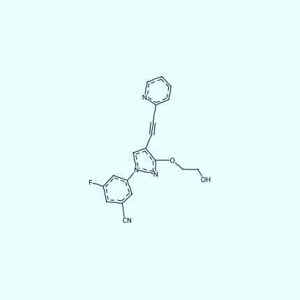 N#Cc1cc(F)cc(-n2cc(C#Cc3ccccn3)c(OCCO)n2)c1